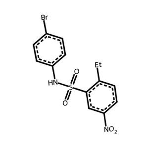 CCc1ccc([N+](=O)[O-])cc1S(=O)(=O)Nc1ccc(Br)cc1